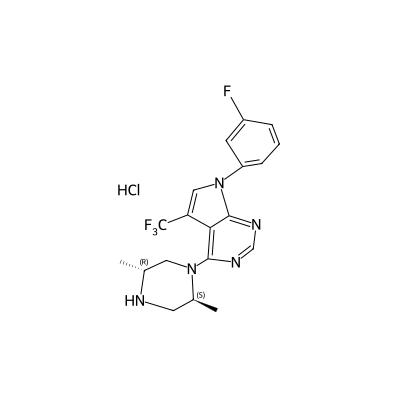 C[C@@H]1CN(c2ncnc3c2c(C(F)(F)F)cn3-c2cccc(F)c2)[C@@H](C)CN1.Cl